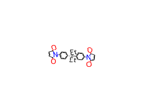 CCC(CC)(c1ccc(N2C(=O)C=CC2=O)cc1)c1ccc(N2C(=O)C=CC2=O)cc1